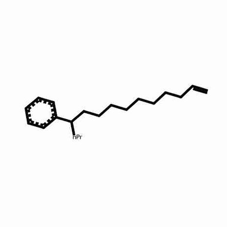 C=CCCCCCCCCC(CCC)c1ccccc1